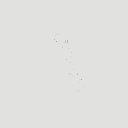 Cc1nc(-c2ncc(Oc3ccc(C(C)c4ccc(O[C@H]5C[C@H](N)C5)cc4)cc3)cn2)no1